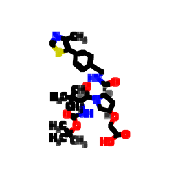 Cc1ncsc1-c1ccc(CNC(=O)[C@@H]2C[C@@H](OCC(=O)O)CN2C(=O)[C@@H](NC(=O)OC(C)(C)C)C(C)(C)C)cc1